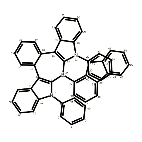 c1ccc(-n2c3c(c4ccccc42)-c2ccccc2-c2c(n(-c4ccccc4)c4ccccc24)B3c2cccc3c2oc2ccccc23)cc1